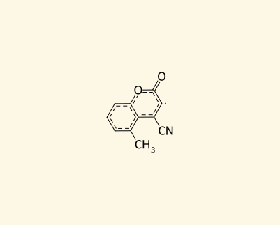 Cc1cccc2oc(=O)[c]c(C#N)c12